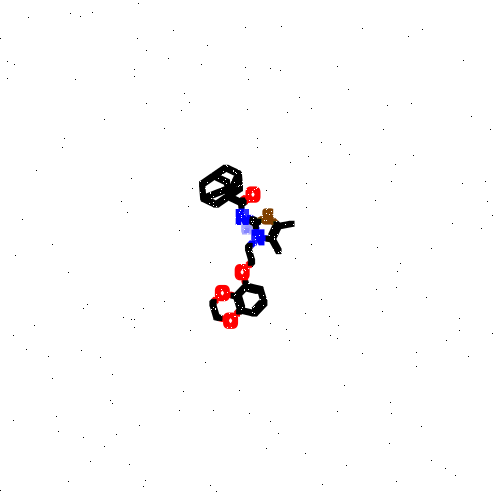 Cc1s/c(=N\C(=O)C23CC4CC(CC(C4)C2)C3)n(CCOc2cccc3c2OCCO3)c1C